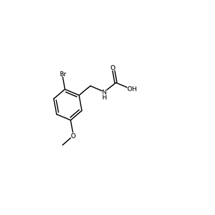 COc1ccc(Br)c(CNC(=O)O)c1